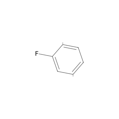 Fc1[c]cc[c]c1